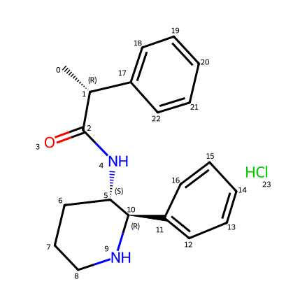 C[C@@H](C(=O)N[C@H]1CCCN[C@@H]1c1ccccc1)c1ccccc1.Cl